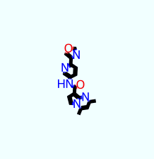 Cc1cc(C)n2ccc(C(=O)Nc3ccc(-c4cocn4)nc3)c2n1